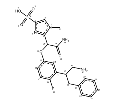 Cn1cc(S(=O)(=O)O)nc1C(Oc1ccc(F)c(C(CN)Cc2ccccc2)c1)C(N)=O